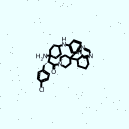 NC1([C@@H](Cc2ccc(Cl)cc2)C(=O)N2CCC(Cn3cncn3)(C3CCCCC3)CC2)CCC(Nc2ccccc2)CC1